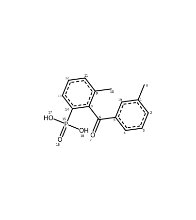 Cc1cccc(C(=O)c2c(C)cccc2P(=O)(O)O)c1